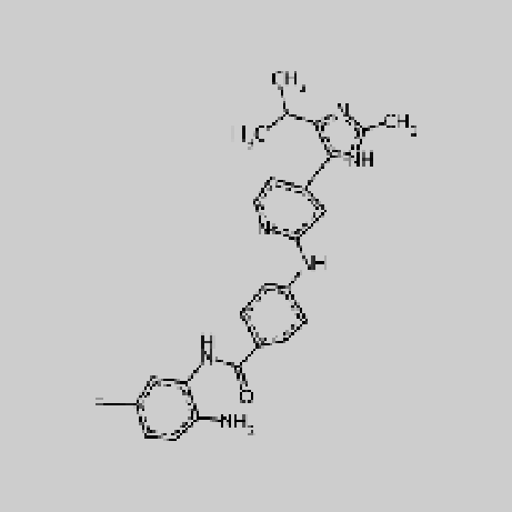 Cc1nc(C(C)C)c(-c2ccnc(Nc3ccc(C(=O)Nc4cc(F)ccc4N)cc3)c2)[nH]1